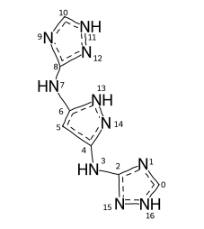 c1nc(Nc2cc(Nc3nc[nH]n3)[nH]n2)n[nH]1